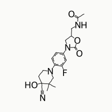 CC(=O)NCC1CN(c2ccc(N3CCC(O)(C#N)C(C)(C)C3)c(F)c2)C(=O)O1